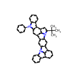 CC(C)(C)c1cc2c3c4ccccc4n(-c4ccccc4)c3cc3c4cc5c(cc4n1c32)c1cccc2c3ccccc3n5c21